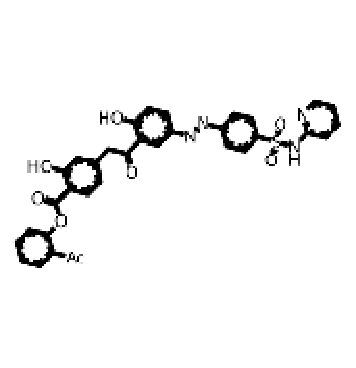 CC(=O)c1ccccc1OC(=O)c1ccc(CC(=O)c2cc(/N=N/c3ccc(S(=O)(=O)Nc4ccccn4)cc3)ccc2O)cc1O